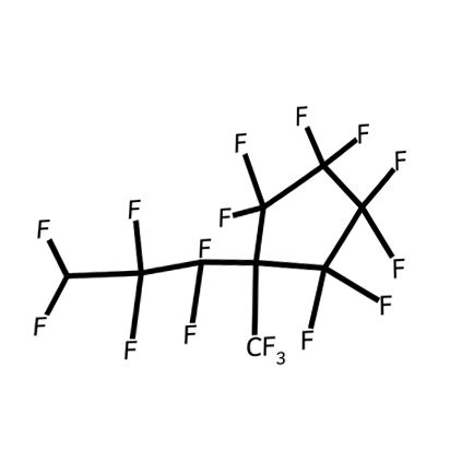 FC(F)C(F)(F)C(F)(F)C1(C(F)(F)F)C(F)(F)C(F)(F)C(F)(F)C1(F)F